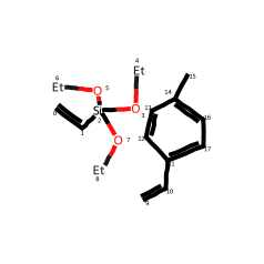 C=C[Si](OCC)(OCC)OCC.C=Cc1ccc(C)cc1